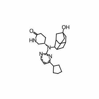 O=C1CC[C@@H](N(c2nccc(C3CCCC3)n2)C2C3CC4CC2CC(O)(C4)C3)CN1